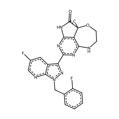 CC12OCCNc3nc(-c4nn(Cc5ccccc5F)c5ncc(F)cc45)nc(c31)NC2=O